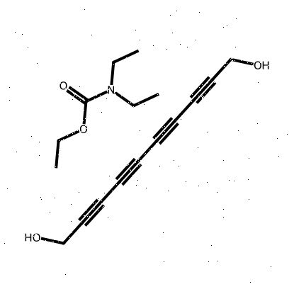 CCOC(=O)N(CC)CC.OCC#CC#CC#CC#CCO